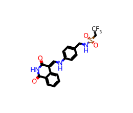 O=C1NC(=O)c2ccccc2C1=CNc1ccc(CNS(=O)(=O)CC(F)(F)F)cc1